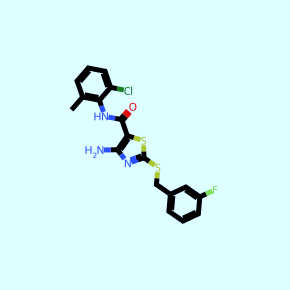 Cc1cccc(Cl)c1NC(=O)c1sc(SCc2cccc(F)c2)nc1N